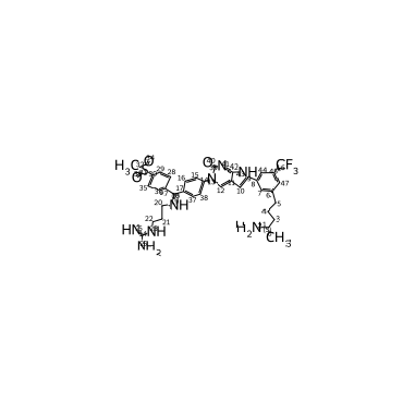 C[C@H](N)CCCc1cc(-c2cc3cn(-c4ccc([C@@H](NCCCNC(=N)N)c5ccc(S(C)(=O)=O)cc5)cc4)c(=O)nc3[nH]2)cc(C(F)(F)F)c1